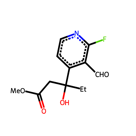 CCC(O)(CC(=O)OC)c1ccnc(F)c1C=O